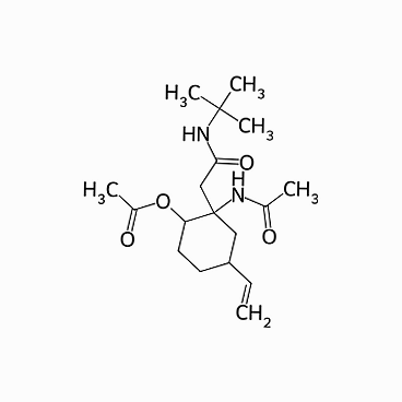 C=CC1CCC(OC(C)=O)C(CC(=O)NC(C)(C)C)(NC(C)=O)C1